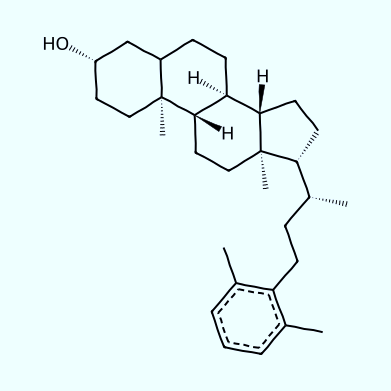 Cc1cccc(C)c1CC[C@@H](C)[C@H]1CC[C@H]2[C@@H]3CCC4C[C@@H](O)CC[C@]4(C)[C@H]3CC[C@]12C